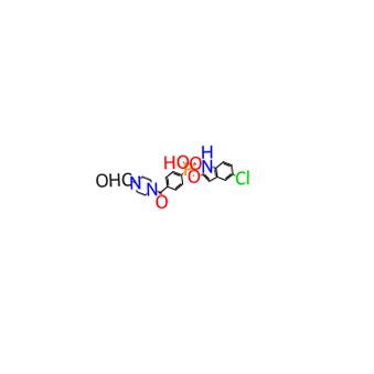 O=CN1CCN(C(=O)c2ccc(P(=O)(O)Oc3cc4cc(Cl)ccc4[nH]3)cc2)CC1